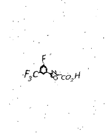 O=C(O)Cc1nc(-c2cc(F)cc(C(F)(F)F)c2)co1